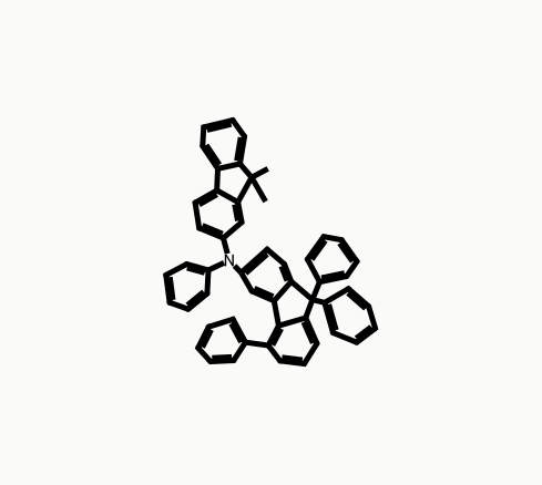 CC1(C)c2ccccc2-c2ccc(N(c3ccccc3)c3ccc4c(c3)-c3c(-c5ccccc5)cccc3C4(c3ccccc3)c3ccccc3)cc21